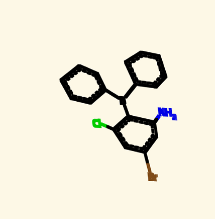 Nc1cc(Br)cc(Cl)c1B(c1ccccc1)c1ccccc1